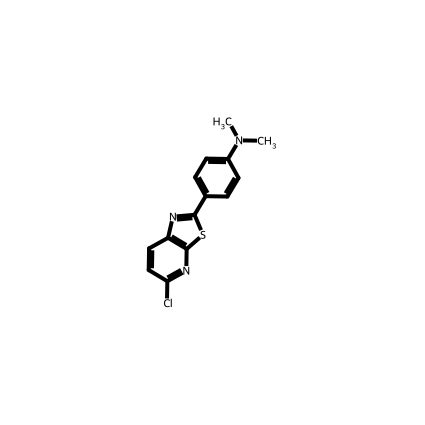 CN(C)c1ccc(-c2nc3ccc(Cl)nc3s2)cc1